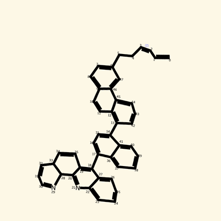 C=C/C=C\CCc1ccc2ccc3c(-c4ccc(-c5c6c(nc7ccccc57)C5N=CC=CC5C=C6)c5ccccc45)cccc3c2c1